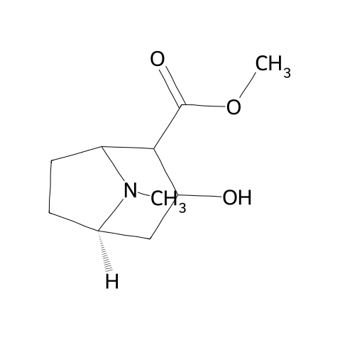 COC(=O)C1C(O)C[C@H]2CCC1N2C